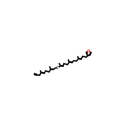 C#CC/C(C)=C/CC/C(C)=C/CC/C(C)=C/CC/C(C)=C/CC/C(C)=C/CCc1ccoc1